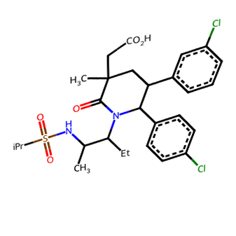 CCC(C(C)NS(=O)(=O)C(C)C)N1C(=O)C(C)(CC(=O)O)CC(c2cccc(Cl)c2)C1c1ccc(Cl)cc1